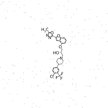 Cc1nnc(-c2cc3c(OC[C@@H](O)CN4CCC(c5ccc(Cl)c(C(F)(F)F)c5)CC4)cccc3o2)o1